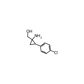 NC1(CO)CC1c1ccc(Cl)cc1